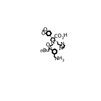 CCCCN(C(=O)CN1C[C@H](c2ccc3c(c2)OCO3)[C@@H](C(=O)O)[C@@H]1CCc1nccn1C)c1cccc(CN)c1